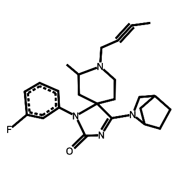 CC#CCN1CCC2(CC1C)C(N1CC3CCC1C3)=NC(=O)N2c1cccc(F)c1